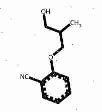 CC(CO)COc1ccccc1C#N